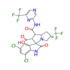 O=C(Nc1cncc(C(F)(F)F)n1)C1C2C[C@H](C(F)(F)F)CN2C2(C(=O)Nc3c(Cl)cc(Cl)cc32)C1C(=O)O